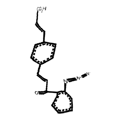 [N-]=[N+]=Nc1ccccc1C(=O)/C=C/c1ccc(/C=C/C(=O)O)cc1